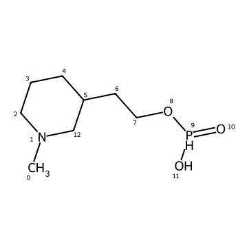 CN1CCCC(CCO[PH](=O)O)C1